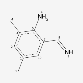 Cc1cc(C)c(N)c(C=N)c1